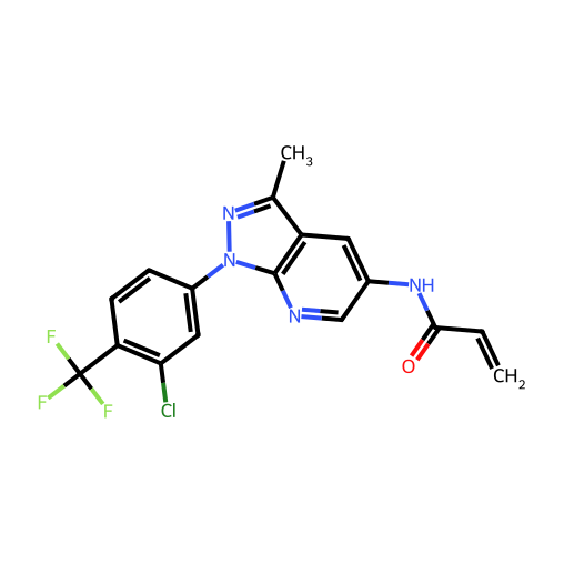 C=CC(=O)Nc1cnc2c(c1)c(C)nn2-c1ccc(C(F)(F)F)c(Cl)c1